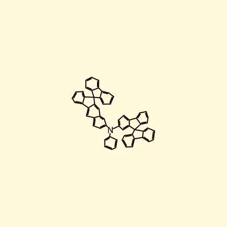 c1ccc(N(c2ccc3c(c2)C2(c4ccccc4-c4ccccc42)c2ccccc2-3)c2ccc3cc4c(cc3c2)C2(c3ccccc3-c3ccccc32)c2ccccc2-4)cc1